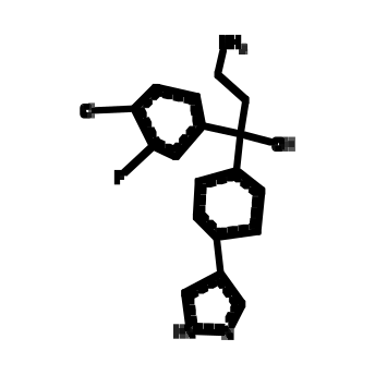 NCCC(O)(c1ccc(-c2cn[nH]c2)cc1)c1ccc(Cl)c(F)c1